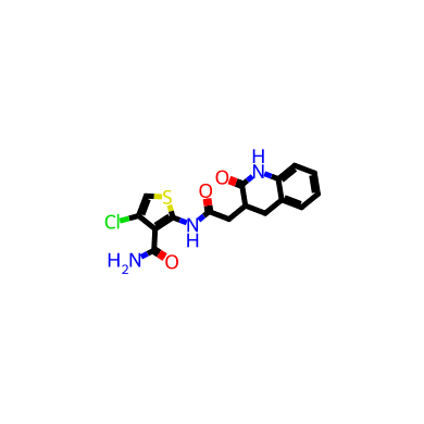 NC(=O)c1c(Cl)csc1NC(=O)CC1Cc2ccccc2NC1=O